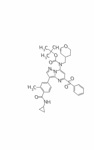 Cc1cc(-c2cnn3c(N(CC4CCOCC4)C(=O)OC(C)(C)C)cc(S(=O)(=O)c4ccccc4)nc23)ccc1C(=O)NC1CC1